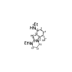 CCNc1cccc2c1sc1[n+]2CCCN1CC.[I-]